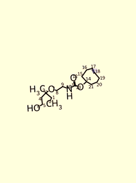 CCC(C)(CCO)OCCNC(=O)OC1CC/C=C/CCC1